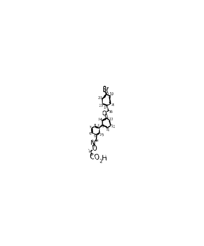 O=C(O)CON=Cc1cccc(-c2cccc(OCc3ccc(Br)cc3)c2)c1